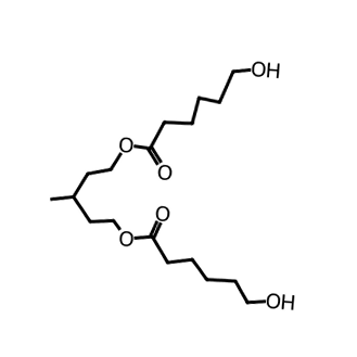 CC(CCOC(=O)CCCCCO)CCOC(=O)CCCCCO